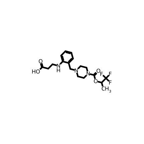 CC(OC(=O)N1CCN(Cc2ccccc2NCCC(=O)O)CC1)C(F)(F)F